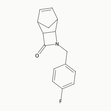 O=C1C2C3C=CC(C3)C2N1Cc1ccc(F)cc1